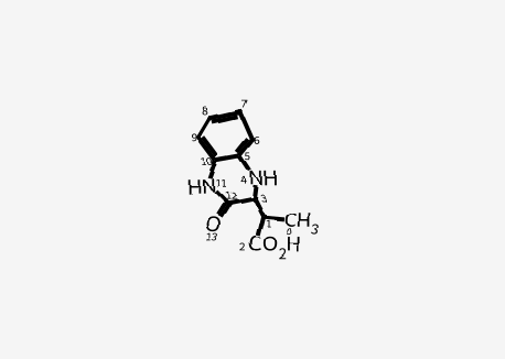 CC(C(=O)O)C1Nc2ccccc2NC1=O